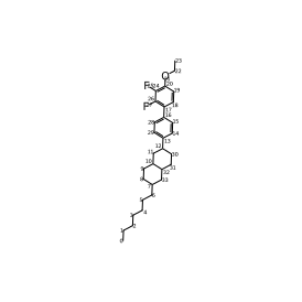 CCCCCCCC1CCC2CC(c3ccc(-c4ccc(OCC)c(F)c4F)cc3)CCC2C1